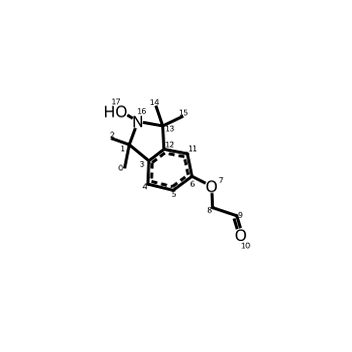 CC1(C)c2ccc(OCC=O)cc2C(C)(C)N1O